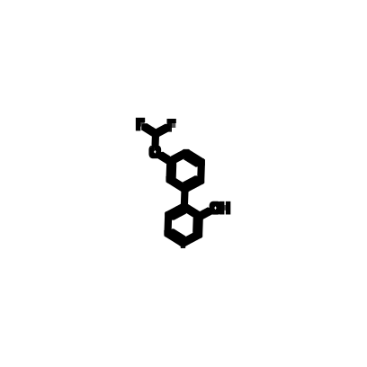 Oc1c[c]ccc1-c1cccc(OC(F)F)c1